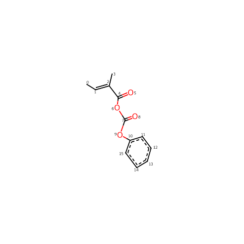 CC=C(C)C(=O)OC(=O)Oc1ccccc1